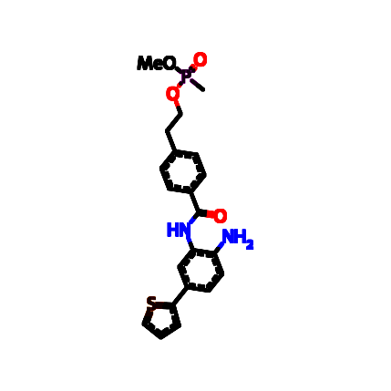 COP(C)(=O)OCCc1ccc(C(=O)Nc2cc(-c3cccs3)ccc2N)cc1